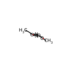 CCCCCCCCCOc1ccc(-c2ncc(OCCCCOCCCCC)cn2)cc1